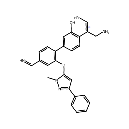 CCC/C=C(/CN)c1ccc(-c2ccc(C=N)cc2Oc2cc(-c3ccccc3)nn2C)cc1O